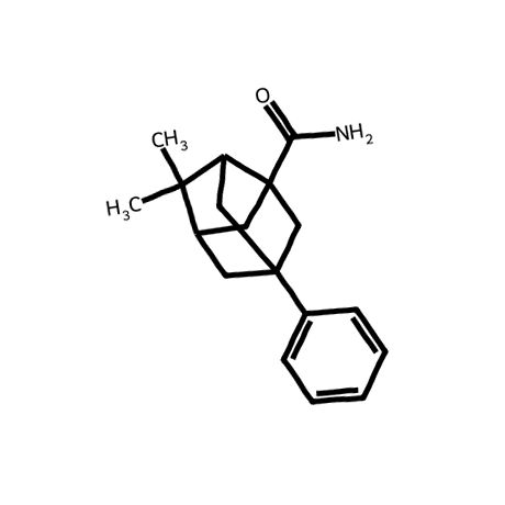 CC1(C)C2CC3(c4ccccc4)CC1C(C(N)=O)(C2)C3